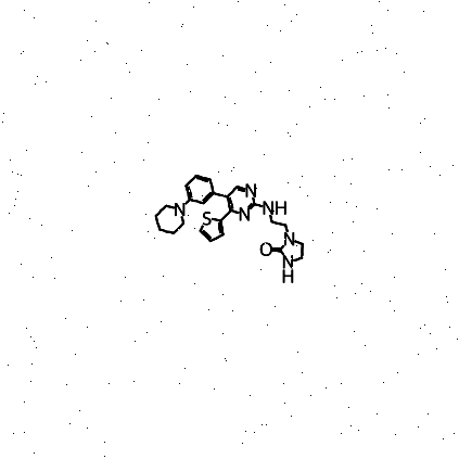 O=C1NCCN1CCNc1ncc(-c2cccc(N3CCCCC3)c2)c(-c2cccs2)n1